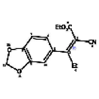 CCOC(=O)/C(C#N)=C(/CC)c1ccc2c(c1)OCO2